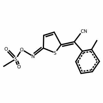 Cc1ccccc1/C(C#N)=C1/C=CC(=NOS(C)(=O)=O)S1